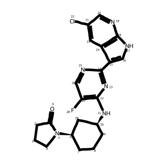 O=C1CCCN1[C@@H]1CCC[C@H](Nc2nc(-c3c[nH]c4ncc(Cl)cc34)ncc2F)C1